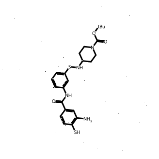 CC(C)(C)OC(=O)N1CCC(NSc2cccc(NC(=O)c3ccc(S)c(N)c3)c2)CC1